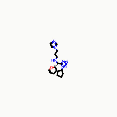 C1=CO[C@H](C(NCCCn2ccnc2)c2nnnn2C2CCCC2)CC1